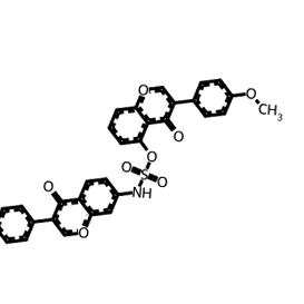 COc1ccc(-c2coc3cccc(OS(=O)(=O)Nc4ccc5c(=O)c(-c6ccccc6)coc5c4)c3c2=O)cc1